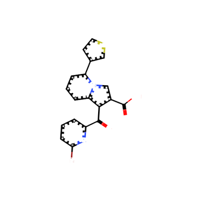 O=C(O)c1cn2c(-c3ccsc3)cccc2c1C(=O)c1cccc(Br)n1